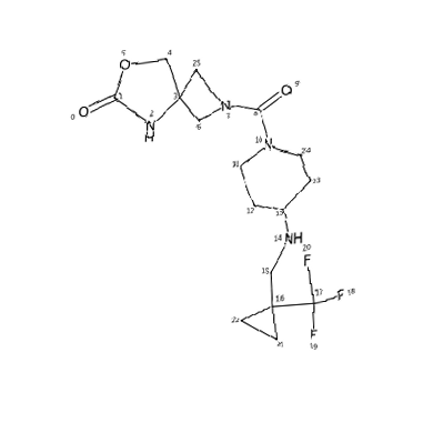 O=C1NC2(CO1)CN(C(=O)N1CCC(NCC3(C(F)(F)F)CC3)CC1)C2